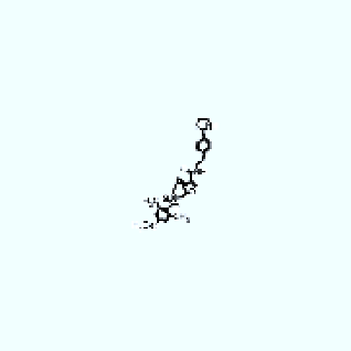 COc1cc(C)c(S(=O)(=O)N(Cc2cc(C(=O)NCCc3ccc(C4=NCCN4)cc3)co2)CC2CC2)c(C)c1